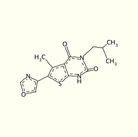 Cc1c(-c2cocn2)sc2[nH]c(=O)n(CC(C)C)c(=O)c12